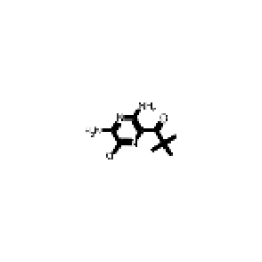 CC(C)(C)C(=O)c1nc(Cl)c(N)nc1N